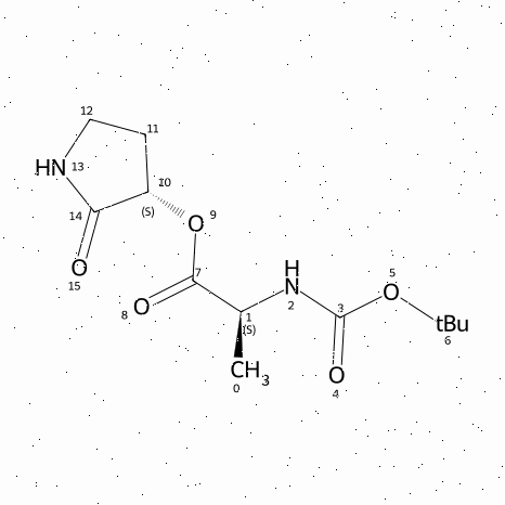 C[C@H](NC(=O)OC(C)(C)C)C(=O)O[C@H]1CCNC1=O